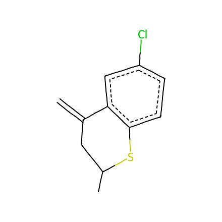 C=C1CC(C)Sc2ccc(Cl)cc21